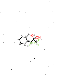 OC1(C(F)(F)F)OCC2CCCCC2C1(F)F